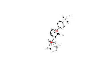 CS(=O)(=O)c1ccc(-n2ccc(OC3C[C@H]4CC[C@H](C3)N4C(=O)COC(F)(F)F)cc2=O)cc1